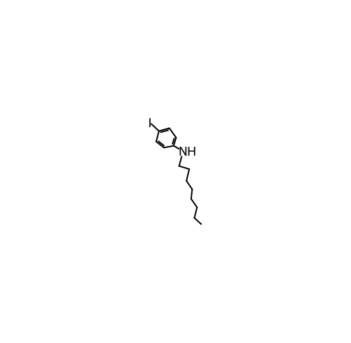 CCCCCCCCNc1ccc(I)cc1